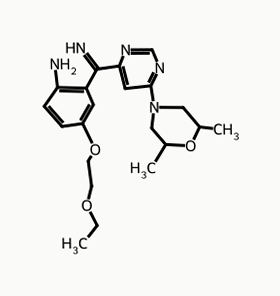 CCOCCOc1ccc(N)c(C(=N)c2cc(N3CC(C)OC(C)C3)ncn2)c1